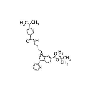 CC(C)c1ccc(C(=O)NCCCCn2cc(-c3ccccn3)c3ccc(C(=O)OC(C)(C)C)cc32)cc1